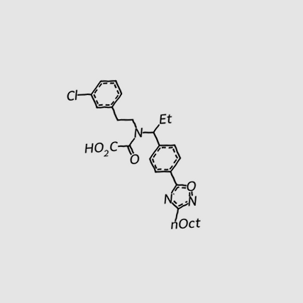 CCCCCCCCc1noc(-c2ccc(C(CC)N(CCc3cccc(Cl)c3)C(=O)C(=O)O)cc2)n1